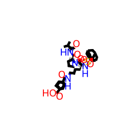 CC(C)[C@@H](C=O)NC(=O)[C@@H]1CCCN1C(=O)[C@H](CCCCNC(=O)c1ccc(C(=O)O)cc1)NS(=O)(=O)C12CC3CC(CC(C3)C1)C2